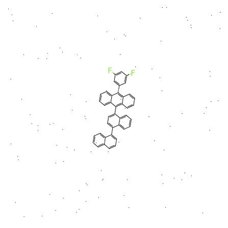 Fc1cc(F)cc(-c2c3ccccc3c(-c3ccc(-c4cccc5ccccc45)c4ccccc34)c3ccccc23)c1